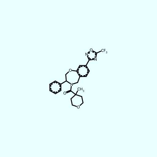 CC1(C(=O)N2Cc3ccc(-c4noc(C(F)(F)F)n4)cc3OCC2c2ccccc2)CCOCC1